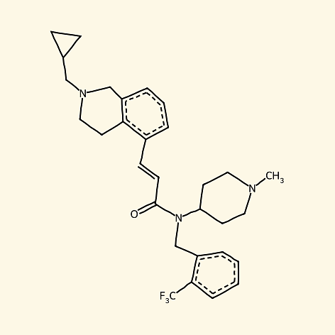 CN1CCC(N(Cc2ccccc2C(F)(F)F)C(=O)C=Cc2cccc3c2CCN(CC2CC2)C3)CC1